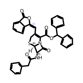 O=C(Cc1ccccc1)N[C@@H]1C(=O)N2C(C(=O)OC(c3ccccc3)c3ccccc3)=C(/C=C3/OC(=O)c4ccccc43)CS[C@H]12